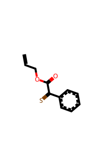 C=CCOC(=O)C(=S)c1ccccc1